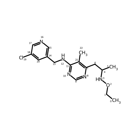 CCONC(C)Cc1ncnc(NCc2cncc(Cl)c2)c1C